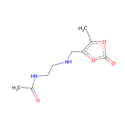 CC(=O)NCCNCc1oc(=O)oc1C